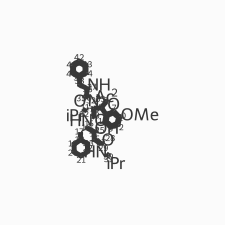 COc1cccc2c1OCC2[C@@](CC(C)C)(C(=O)N[C@@H](CC1CCCCC1)[C@@H](O)CC(=O)NCC(C)C)N(C(C)=O)C(=O)[C@@H](N)Cc1ccccc1